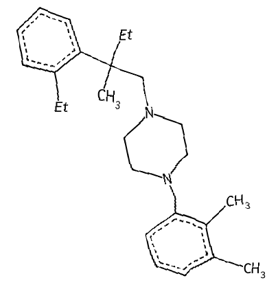 CCc1ccccc1C(C)(CC)CN1CCN(c2cccc(C)c2C)CC1